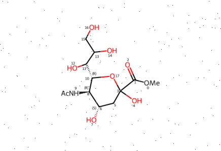 COC(=O)C1(O)C[C@H](O)[C@@H](NC(C)=O)[C@H](C(O)C(O)CO)O1